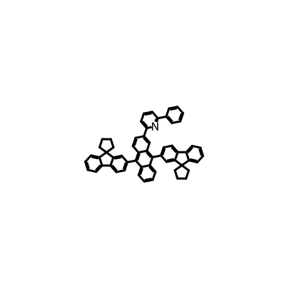 c1ccc(-c2cccc(-c3ccc4c(-c5ccc6c(c5)C5(CCCC5)c5ccccc5-6)c5ccccc5c(-c5ccc6c(c5)C5(CCCC5)c5ccccc5-6)c4c3)n2)cc1